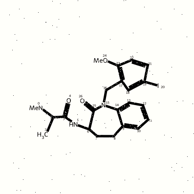 CNC(C)C(=O)NC1CCc2ccccc2N(Cc2cc(I)ccc2OC)C1=O